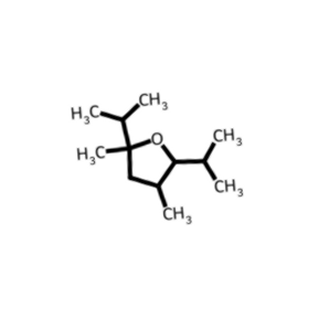 CC(C)C1OC(C)(C(C)C)CC1C